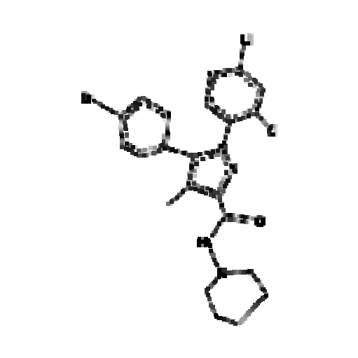 Cc1c(C(=O)NN2CCCCC2)nn(-c2ccc(Cl)cc2Cl)c1-c1ccc(Br)cc1